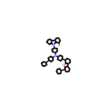 Fc1cccc2c3ccccc3n(-c3ccc(N(c4ccc(-c5ccccc5)cc4)c4ccc(-c5cccc6c5oc5c(-c7ccccc7)cccc56)cc4)cc3)c12